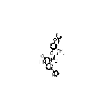 CCC(Oc1ccc(OC(F)(F)F)cc1)C(=O)N1CC(=O)Nc2ccc(-n3cccn3)nc21